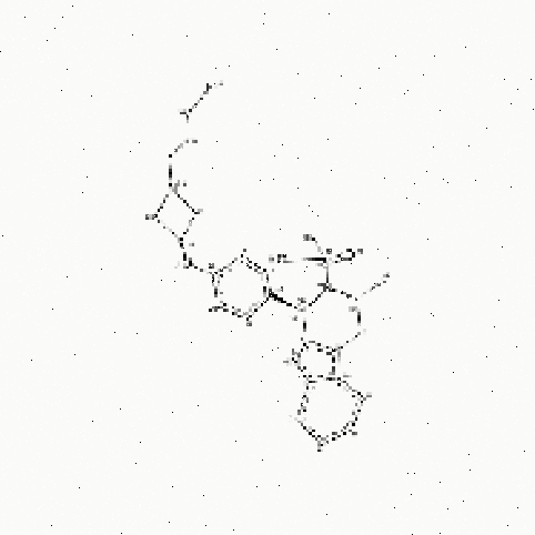 C[C@@H]1Cc2c([nH]c3ccccc23)[C@@H](c2ccc(OC3CN(CCCF)C3)cc2)N1S(C)(=O)=O